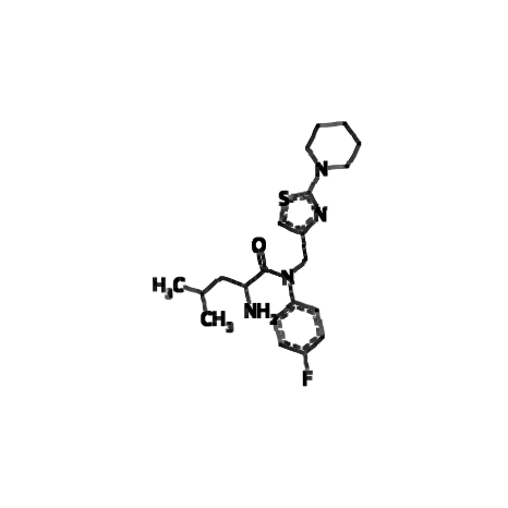 CC(C)CC(N)C(=O)N(Cc1csc(N2CCCCC2)n1)c1ccc(F)cc1